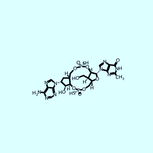 Cc1nc2c(ncn2[C@@H]2O[C@@H]3CO[P@](=O)(S)O[C@@H]4[C@@H](CO[P@](=O)(S)O[C@@H]2[C@@H]3CO)C[C@@H](n2cnc3c(N)ncnc32)[C@@H]4O)c(=O)[nH]1